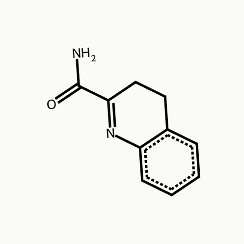 NC(=O)C1=Nc2ccccc2CC1